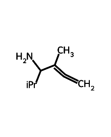 C=C=C(C)C(N)C(C)C